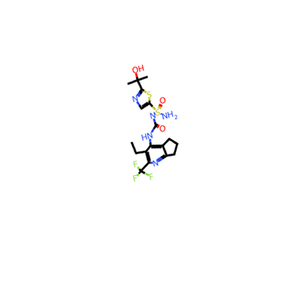 CCc1c(C(F)(F)F)nc2c(c1NC(=O)N=[S@](N)(=O)c1cnc(C(C)(C)O)s1)CCC2